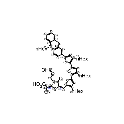 CCCCCCc1cc(-c2sc(-c3sc(-c4ccc5c(c4)Sc4ccccc4N5CCCCCC)cc3CCCCCC)cc2CCCCCC)sc1/C=c1/s/c(=C(\C#N)C(=O)O)n(COC=O)c1=O